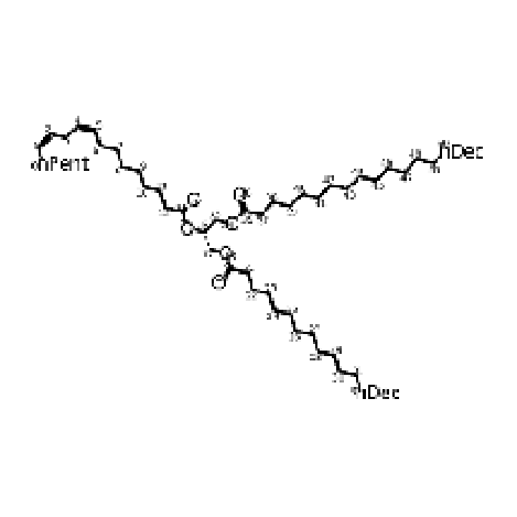 CCCCC/C=C\C/C=C\CCCCCCCC(=O)O[C@@H](COC(=O)CCCCCCCCCCCCCCCCCCCCC)COC(=O)CCCCCCCCCCCCCCCCCCCCCCC